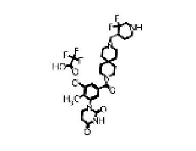 Cc1c(Cl)cc(C(=O)N2CCC3(CCN(C[C@@H]4CCNCC4(F)F)CC3)CC2)cc1N1CCC(=O)NC1=O.O=C(O)C(F)(F)F